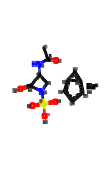 CC(=O)NC1CN(S(=O)(=O)[O-])C1=O.[Na+].c1cc2cc-2c1